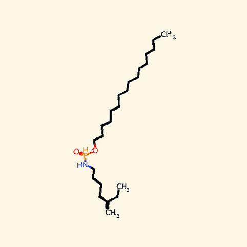 C=C(CC)CCCCN[PH](=O)OCCCCCCCCCCCCCCCC